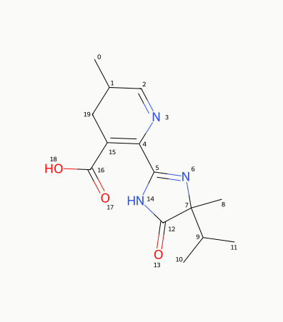 CC1C=NC(C2=NC(C)(C(C)C)C(=O)N2)=C(C(=O)O)C1